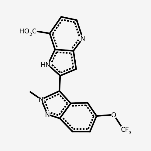 Cn1nc2ccc(OC(F)(F)F)cc2c1-c1cc2nccc(C(=O)O)c2[nH]1